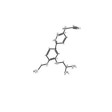 CCOc1ccc(-c2ccc(NC#N)nn2)cc1OCC(C)C